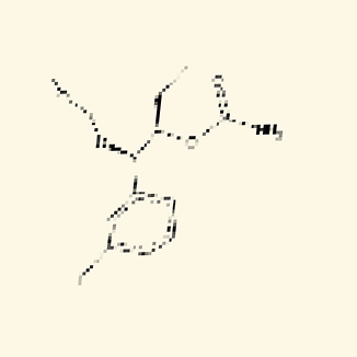 CC[C@@H](OC(N)=O)[C@H](OCOC)c1cccc(I)c1